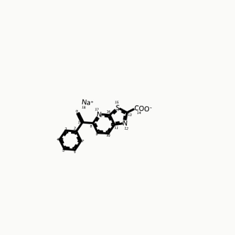 C=C(c1ccccc1)c1ccc2nc(C(=O)[O-])sc2n1.[Na+]